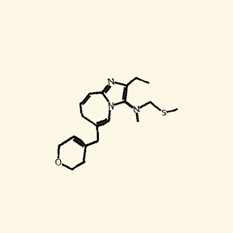 CCc1nc2n(c1N(C)CSC)C=C(CC1=CCOCC1)CC=C2